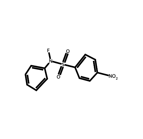 O=[N+]([O-])c1ccc(S(=O)(=O)N(F)c2ccccc2)cc1